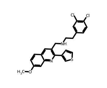 COc1ccc2cc(CNCCc3ccc(Cl)c(Cl)c3)c(-c3ccsc3)nc2c1